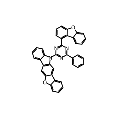 c1ccc(-c2nc(-c3cccc4oc5ccccc5c34)nc(-n3c4ccccc4c4cc5oc6ccccc6c5cc43)n2)cc1